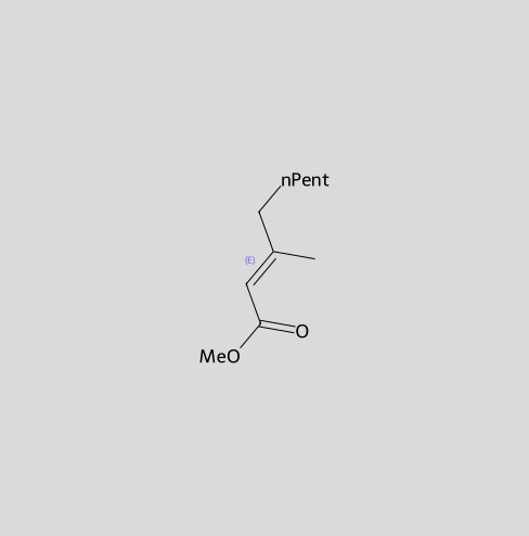 CCCCCC/C(C)=C/C(=O)OC